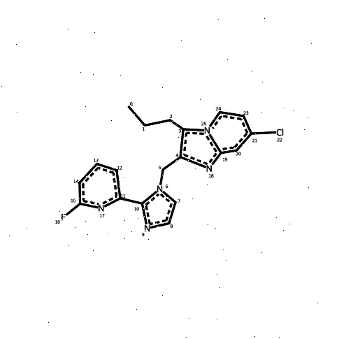 CCCc1c(Cn2ccnc2-c2cccc(F)n2)nc2cc(Cl)ccn12